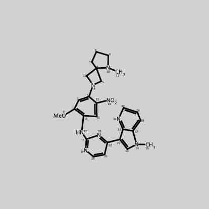 COc1cc(N2CC3(CCCN3C)C2)c([N+](=O)[O-])cc1Nc1nccc(-c2cn(C)c3cccnc23)n1